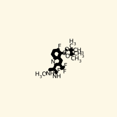 CN/C=C(\C=N)c1nc2ccc(F)c(B3OC(C)(C)C(C)(C)O3)c2cc1C(F)(F)F